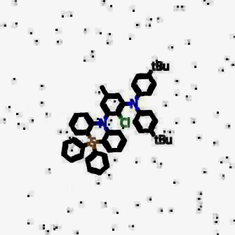 Cc1cc(N(c2ccc(C(C)(C)C)cc2)c2ccc(C(C)(C)C)cc2)c(Cl)c(N2c3ccccc3S(c3ccccc3)(c3ccccc3)c3ccccc32)c1